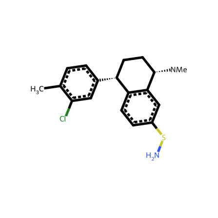 CN[C@H]1CC[C@@H](c2ccc(C)c(Cl)c2)c2ccc(SN)cc21